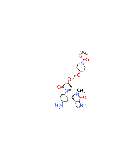 Cn1cc(-c2cc(N)ccc2-n2ccc(OCCOC3CCN(C(=O)OC(C)(C)C)CC3)cc2=O)c2cc[nH]c2c1=O